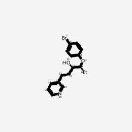 CC[C@H](Oc1ccc(Br)cc1)[C@H](O)CCc1cccnc1